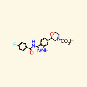 O=C(Nc1n[nH]c2cc(C3CN(C(=O)O)CCO3)ccc12)c1ccc(F)cc1